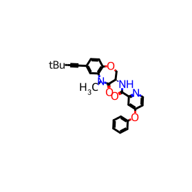 CN1C(=O)[C@@H](NC(=O)c2cc(Oc3ccccc3)ccn2)COc2ccc(C#CC(C)(C)C)cc21